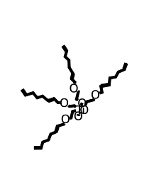 C=CCCCC=CCOCC[O][Ti](=[O])([CH2]COCC=CCCCC=C)([CH2]COCC=CCCCC=C)[O]CCOCC=CCCCC=C